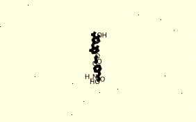 Cc1cc(OCC(=O)Oc2ccc(C[C@H](N)C(=O)O)cc2)cc(C)c1Cc1ccc(O)c(C(C)C)c1